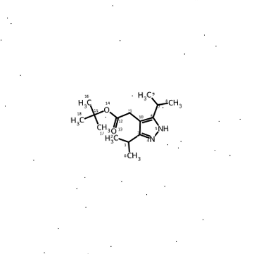 CC(C)c1n[nH]c(C(C)C)c1CC(=O)OC(C)(C)C